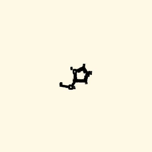 COc1cnco1